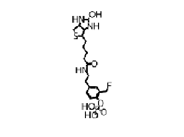 O=C(CCCCC1SCC2NC(O)NC21)NCCc1ccc(OP(=O)(O)O)c(CF)c1